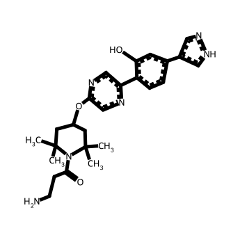 CC1(C)CC(Oc2cnc(-c3ccc(-c4cn[nH]c4)cc3O)cn2)CC(C)(C)N1C(=O)CCN